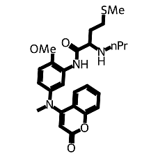 CCCNC(CCSC)C(=O)Nc1cc(N(C)c2cc(=O)oc3ccccc23)ccc1OC